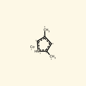 Cc1[c][nH]c(C)c1.[Co]